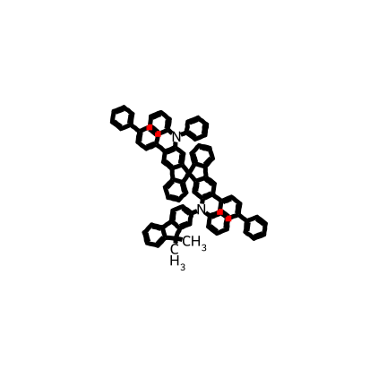 CC1(C)c2ccccc2-c2ccc(N(c3ccccc3)c3cc4c(cc3-c3ccc(-c5ccccc5)cc3)-c3ccccc3C43c4ccccc4-c4cc(-c5ccc(-c6ccccc6)cc5)c(N(c5ccccc5)c5ccccc5)cc43)cc21